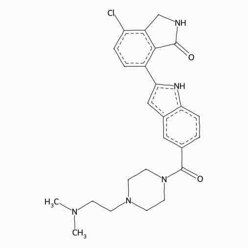 CN(C)CCN1CCN(C(=O)c2ccc3[nH]c(-c4ccc(Cl)c5c4C(=O)NC5)cc3c2)CC1